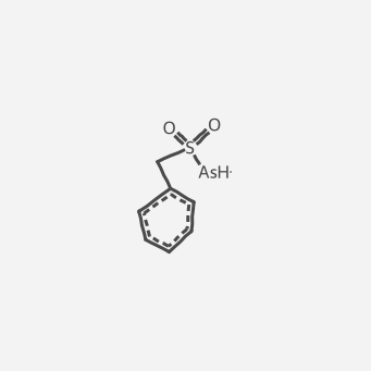 O=S(=O)([AsH])Cc1ccccc1